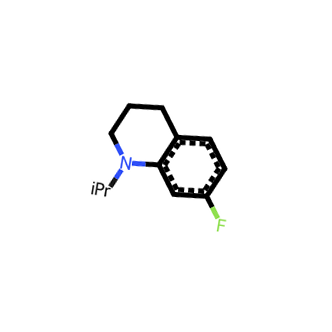 CC(C)N1CCCc2ccc(F)cc21